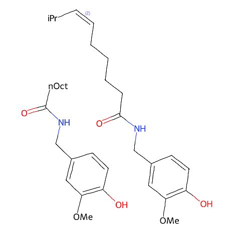 CCCCCCCCC(=O)NCc1ccc(O)c(OC)c1.COc1cc(CNC(=O)CCCC/C=C\C(C)C)ccc1O